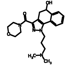 CN(C)CCCn1nc(C(=O)N2CCOCC2)c2c1-c1ccccc1C(O)C2